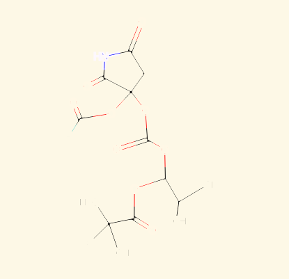 CC(C)C(OC(=O)OC1(OC(=O)F)CC(=O)NC1=O)OC(=O)C(C)(C)C